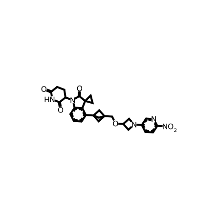 O=C1CCC(N2C(=O)C3(CC3)c3c2cccc3C23CC(COC4CN(c5ccc([N+](=O)[O-])nc5)C4)(C2)C3)C(=O)N1